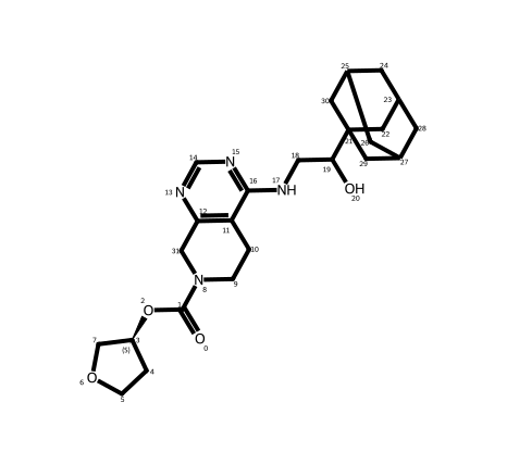 O=C(O[C@H]1CCOC1)N1CCc2c(ncnc2NCC(O)C23CC4CC(CC(C4)C2)C3)C1